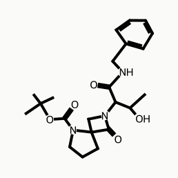 CC(O)C(C(=O)NCc1ccccc1)N1CC2(CCCN2C(=O)OC(C)(C)C)C1=O